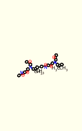 CC1(C)c2ccccc2-c2cc(N(c3ccc4c(c3)oc3ccccc34)c3ccc4c(c3)oc3cc5nc(-c6ccc(-c7ccc8c(c7)C(C)(C)c7ccc(N(c9ccc%10c(c9)oc9cc%11oc(-c%12ccccc%12)nc%11cc9%10)c9ccc%10oc%11ccccc%11c%10c9)cc7-8)cc6)oc5cc34)ccc21